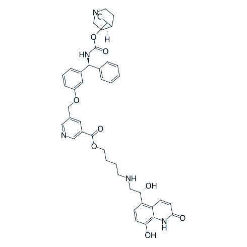 O=C(N[C@@H](c1ccccc1)c1cccc(OCc2cncc(C(=O)OCCCCNC[C@H](O)c3ccc(O)c4[nH]c(=O)ccc34)c2)c1)O[C@H]1CN2CCC1CC2